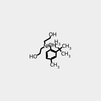 Cc1ccc(O)c(C(C)(C)C)c1.OCCNCCO